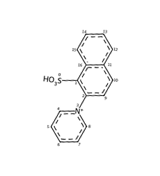 O=S(=O)(O)c1c(-[n+]2ccccc2)ccc2ccccc12